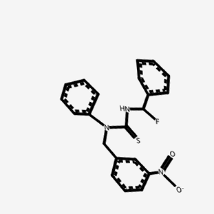 O=[N+]([O-])c1cccc(CN(C(=S)NC(F)c2ccccc2)c2ccccc2)c1